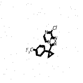 FC(F)(F)c1ccc(C2(c3nnc4c(Cl)nccn34)CC2)cc1